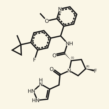 COc1ncccc1C(NC(=O)[C@@H]1C[C@@H](F)CN1C(=O)CC1=CNNN1)c1ccc(C2(C)CC2)c(F)c1